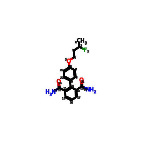 CC(F)CCOc1ccc(-c2c(C(N)=O)cccc2C(N)=O)cc1